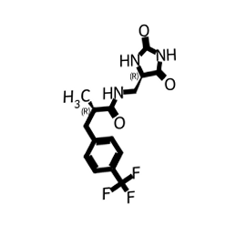 C[C@H](Cc1ccc(C(F)(F)F)cc1)C(=O)NC[C@H]1NC(=O)NC1=O